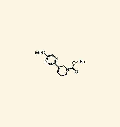 COc1cnc(C2=CCCN(C(=O)OC(C)(C)C)C2)cn1